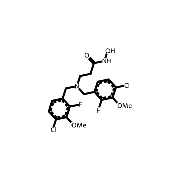 COc1c(Cl)ccc(CN(CCC(=O)NO)Cc2ccc(Cl)c(OC)c2F)c1F